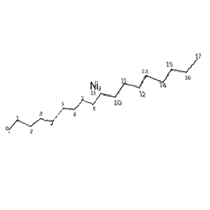 [CH2]CCCCCCCCCCCCCCCCC.[Ni]